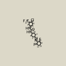 O=C(Nc1ccc(/N=N/c2c(F)cccc2F)cc1)Nc1ccc(Cl)c(C(F)(F)F)c1